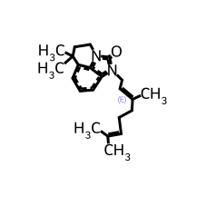 CC(C)=CCC/C(C)=C/Cn1c(=O)n2c3c(cccc31)C(C)(C)CC2